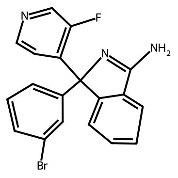 NC1=NC(c2cccc(Br)c2)(c2ccncc2F)c2ccccc21